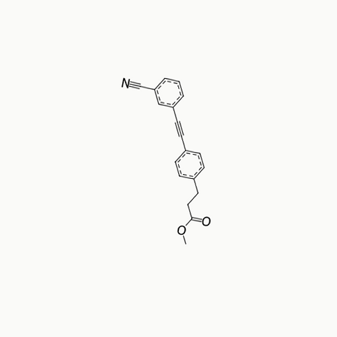 COC(=O)CCc1ccc(C#Cc2cccc(C#N)c2)cc1